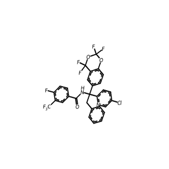 O=C(NC(Cc1ccccc1)(c1ccc2c(c1)C(F)(F)OC(F)(F)O2)c1ccc(Cl)cn1)c1ccc(F)c(C(F)(F)F)c1